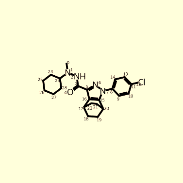 CN(NC(=O)c1nn(-c2ccc(Cl)cc2)c2c1C1CCC2CC1)C1CCCCC1